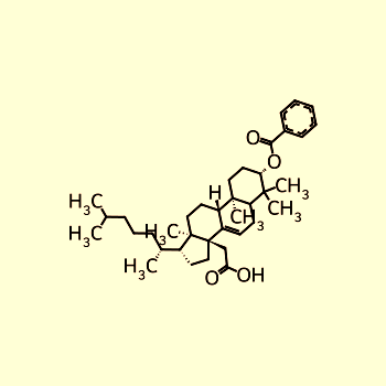 CC(C)CCC[C@@H](C)[C@H]1CC[C@@]2(CC(=O)O)C3=CCC4C(C)(C)[C@@H](OC(=O)c5ccccc5)CC[C@]4(C)[C@H]3CC[C@]12C